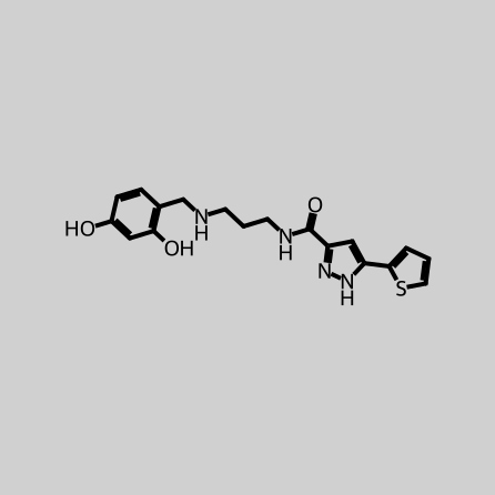 O=C(NCCCNCc1ccc(O)cc1O)c1cc(-c2cccs2)[nH]n1